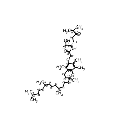 Cc1c(C)c2c(c(C)c1OCC(=O)N[C@@H](CCC(=O)C(C)C)C(=O)O)CC[C@@](C)(CCC[C@H](C)CCC[C@H](C)CCCC(C)C)O2